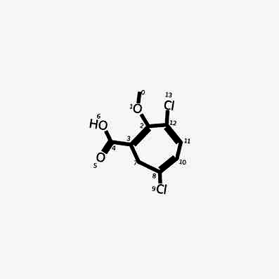 COC1=C(C(=O)O)CC(Cl)=CC=C1Cl